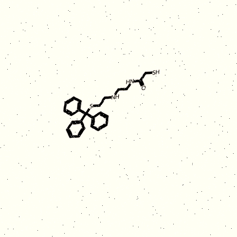 O=C(CS)NCCNCCSC(c1ccccc1)(c1ccccc1)c1ccccc1